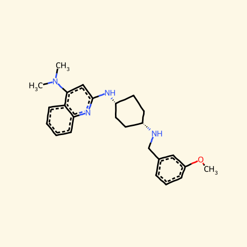 COc1cccc(CN[C@H]2CC[C@@H](Nc3cc(N(C)C)c4ccccc4n3)CC2)c1